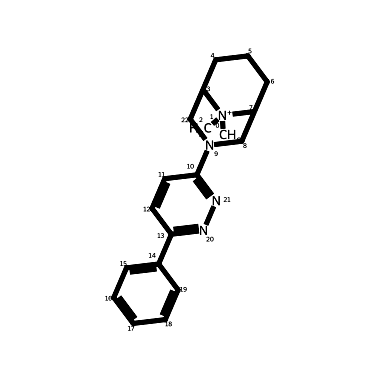 C[N+]1(C)C2CCCC1CN(c1ccc(-c3ccccc3)nn1)C2